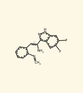 C=Nc1ccccc1/C=C(\N)c1n[nH]c2cc(F)c(F)cc12